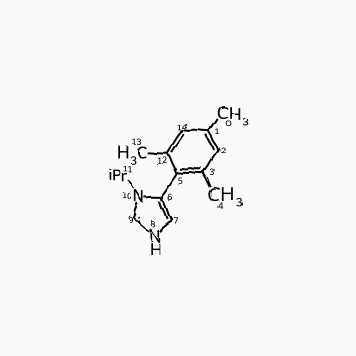 Cc1cc(C)c(C2=CN[C]N2C(C)C)c(C)c1